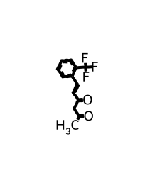 CC(=O)CC(=O)C=Cc1ccccc1C(F)(F)F